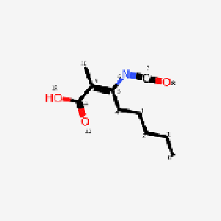 CCCCC/C(N=C=O)=C(/C)C(=O)O